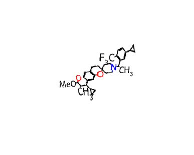 COC(=O)C(C)C(c1ccc2c(c1)OC1(CC2)CCN(C(C)c2cc(C3CC3)ccc2C(F)(F)F)CC1)C1CC1